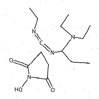 CCN=C=NC(CC)N(CC)CC.O=C1CCC(=O)N1O